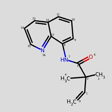 C=CC(C)(C)C(=O)Nc1cccc2cccnc12